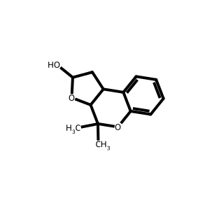 CC1(C)Oc2ccccc2C2CC(O)OC21